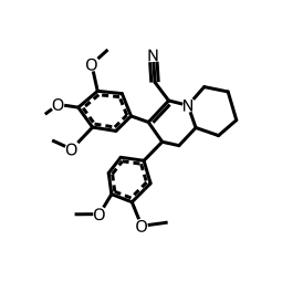 COc1ccc(C2CC3CCCCN3C(C#N)=C2c2cc(OC)c(OC)c(OC)c2)cc1OC